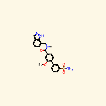 CCOc1cc(C(=O)N(C)Cc2cccc3cn[nH]c23)ccc1-c1cccc(S(N)(=O)=O)c1